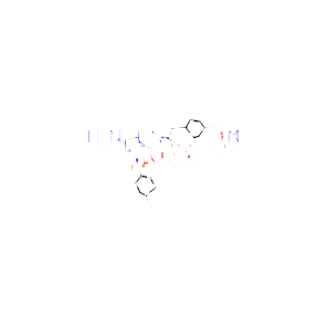 Cc1ccc(S(=O)(=O)N2C[C@H](N)C[C@H]2C(=O)N[C@@H](Cc2ccc(OC(=O)N(C)C)cc2)C(=O)OC(C)(C)C)cc1